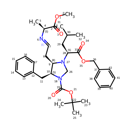 COC(=O)[C@H](C)/N=C/C[C@@H]1[C@H](Cc2ccccc2)N(C(=O)OC(C)(C)C)CN1[C@@H](CC(C)C)C(=O)OCc1ccccc1